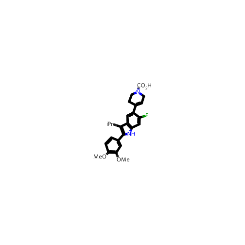 COc1ccc(-c2[nH]c3cc(F)c(C4=CCN(C(=O)O)CC4)cc3c2C(C)C)cc1OC